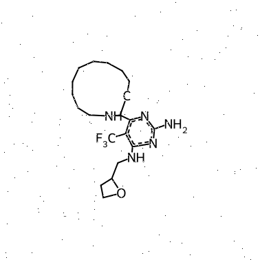 Nc1nc(NCC2CCO2)c(C(F)(F)F)c(C2CCCCCCCCCCN2)n1